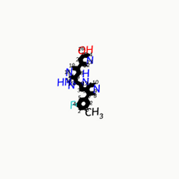 Cc1cc(F)cc(-c2cncc3[nH]c(-c4n[nH]c5ncc(-c6cncc(O)c6)cc45)cc23)c1